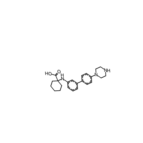 O=C(O)C1(Nc2cccc(-c3ccc(N4CCNCC4)cc3)c2)CCCCC1